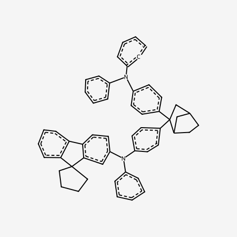 c1ccc(N(c2ccccc2)c2ccc(C3(c4ccc(N(c5ccccc5)c5ccc6c(c5)C5(CCCC5)c5ccccc5-6)cc4)CC4CCC3C4)cc2)cc1